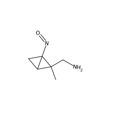 CC1(CN)C2CC21N=O